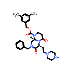 O=C1[C@H](CCN2CCNCC2)N2C(=O)CCN(C(=O)OCc3cc(C(F)(F)F)cc(C(F)(F)F)c3)[C@H]2CN1Cc1ccccc1